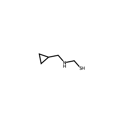 SCNCC1CC1